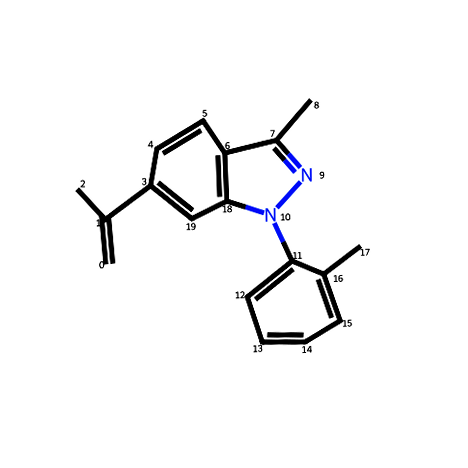 C=C(C)c1ccc2c(C)nn(-c3ccccc3C)c2c1